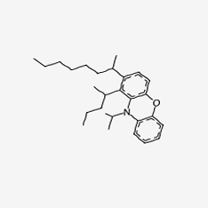 CCCCCCC(C)c1ccc2c(c1C(C)CCC)N(C(C)C)c1ccccc1O2